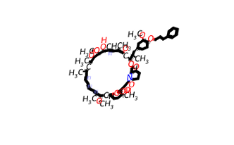 CO[C@H]1C[C@@H]2CC[C@@H](C)[C@@](O)(O2)C(=O)C(=O)N2CCCC[C@H]2C(=O)O[C@H]([C@H](C)C[C@@H]2CC[C@@H](OCCCc3ccccc3)[C@H](OC)C2)CC(=O)[C@H](C)/C=C(\C)[C@@H](O)[C@@H](OC)C(=O)[C@H](C)C[C@H](C)/C=C/C=C/C=C/1C